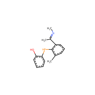 C/N=C(\C)c1cccc(C)c1Pc1ccccc1O